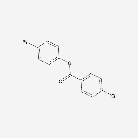 CC(C)c1ccc(OC(=O)c2ccc(Cl)cc2)cc1